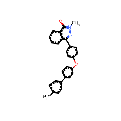 Cc1ccc(-c2ccc(Oc3ccc(-c4nn(C)c(=O)c5ccccc45)cc3)cc2)cc1